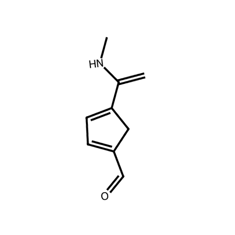 C=C(NC)C1=CC=C(C=O)C1